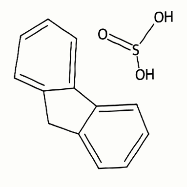 O=S(O)O.c1ccc2c(c1)Cc1ccccc1-2